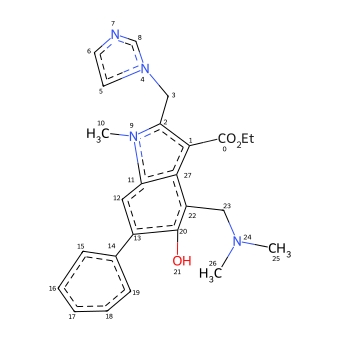 CCOC(=O)c1c(Cn2ccnc2)n(C)c2cc(-c3ccccc3)c(O)c(CN(C)C)c12